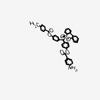 Cc1ccc(C(=O)Oc2ccc(C(c3ccc(OC(=O)c4ccc(N)cc4)cc3)P3(=O)Oc4ccccc4-c4ccccc43)cc2)cc1